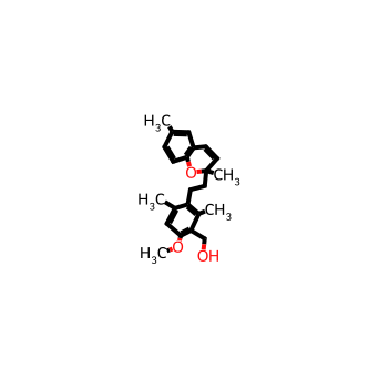 COc1cc(C)c(CCC2(C)C=Cc3cc(C)ccc3O2)c(C)c1CO